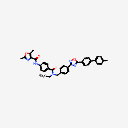 Cc1ccc(-c2ccc(-c3nc(-c4ccc(CN(CC(=O)O)C(=O)c5ccc(NC(=O)c6nc(C)oc6C)cc5)cc4)no3)cc2)cc1